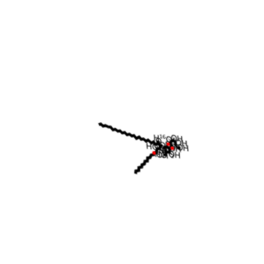 CCCCCCCCCCCCCCCCCCCCCCCCCC(=O)C(O[C@H]1O[C@H](CO)[C@H](O)[C@H](O)[C@H]1O[C@H]1O[C@H](CO)[C@H](O)[C@H](O)[C@H]1[16OH])[C@@H](N)[C@H](O)[C@H](O)CCCCCCCCCCCCCC